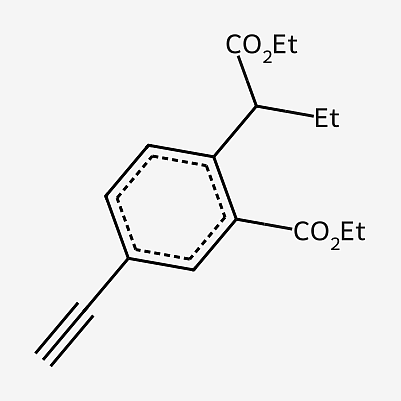 C#Cc1ccc(C(CC)C(=O)OCC)c(C(=O)OCC)c1